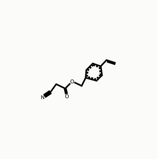 C=Cc1ccc(COC(=O)CC#N)cc1